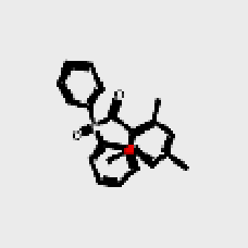 Cc1cc(C)c(C(=O)P(=O)(C2=CC=C=C=C2)c2ccccc2)c(C)c1